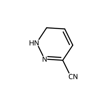 N#CC1=NNCC=C1